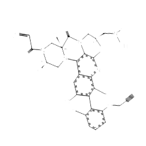 C#CCOc1cccc(F)c1-c1c(Cl)cc2c3c4c(nc2c1F)O[C@H](CN(C)C)CN4C(=O)[C@H]1CN(C(=O)C=C)[C@H](C)CN31